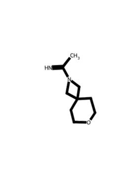 CC(=N)N1CC2(CCOCC2)C1